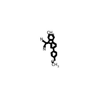 COCc1ccc(-c2ccc3c(c2)C(=C(C#N)C#N)c2cc(C)ccc2-3)cc1